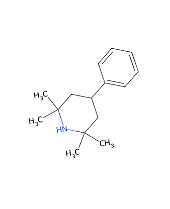 CC1(C)CC(c2ccccc2)CC(C)(C)N1